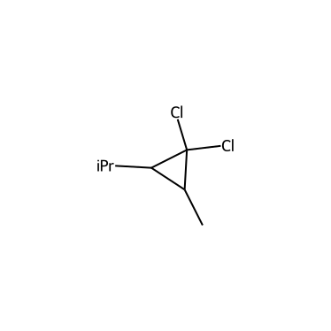 CC(C)C1C(C)C1(Cl)Cl